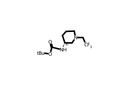 CC(C)(C)OC(=O)N[C@@H]1CCCN(CC(F)(F)F)C1